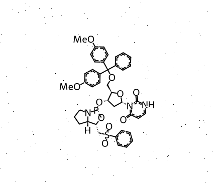 COc1ccc(C(OC[C@H]2O[C@H](n3c(=O)cc[nH]c3=O)C[C@@H]2O[P@]2O[C@H](CS(=O)(=O)c3ccccc3)[C@@H]3CCCN32)(c2ccccc2)c2ccc(OC)cc2)cc1